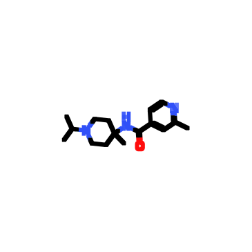 Cc1cc(C(=O)NC2(C)CCN(C(C)C)CC2)ccn1